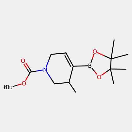 CC1CN(C(=O)OC(C)(C)C)CC=C1B1OC(C)(C)C(C)(C)O1